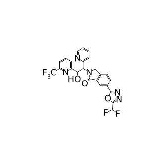 O=C1c2cc(-c3nnc(C(F)F)o3)ccc2CN1C(c1ccccn1)C(O)c1cccc(C(F)(F)F)n1